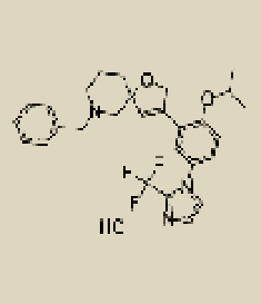 CC(C)Oc1ccc(-n2ccnc2C(F)(F)F)cc1C1=CC2(CCCN(Cc3ccccc3)C2)OC1.Cl